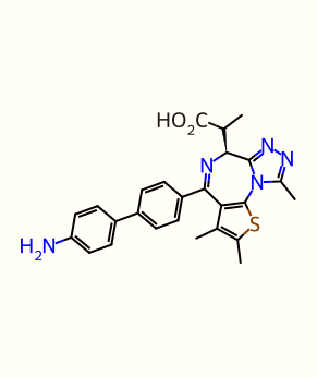 Cc1sc2c(c1C)C(c1ccc(-c3ccc(N)cc3)cc1)=N[C@@H](C(C)C(=O)O)c1nnc(C)n1-2